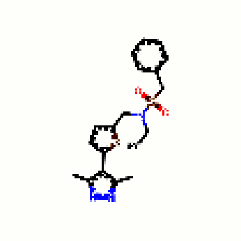 Cc1n[nH]c(C)c1-c1ccc(CN(CC(C)C)S(=O)(=O)Cc2ccccc2)s1